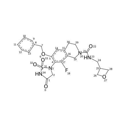 O=C1CN(c2c(OCc3ccccc3)cc3c(c2F)CN(C(=O)NCC2COC2)CC3)S(=O)(=O)N1